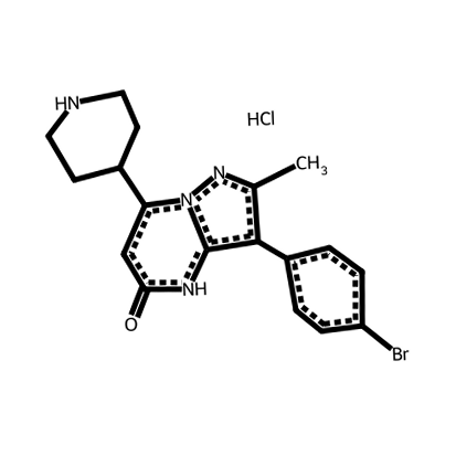 Cc1nn2c(C3CCNCC3)cc(=O)[nH]c2c1-c1ccc(Br)cc1.Cl